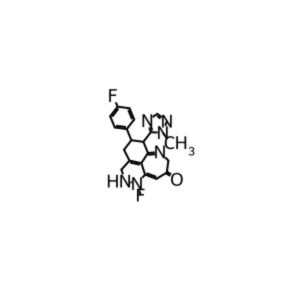 Cn1ncnc1C1C2=NCC(=O)C=C3C2=C(CNN3F)CC1c1ccc(F)cc1